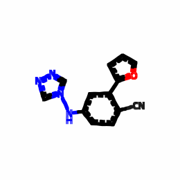 N#Cc1ccc(Nn2cnnc2)cc1-c1ccco1